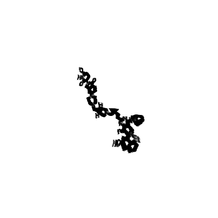 CCc1cccc2cc(O)cc(-c3ncc4c(N5CC6CCC(C5)N6)nc(CCC5(CN6C[C@@H]7C(CN8CCN(c9ccc%10c(c9)CN([C@H]9CCC(=O)NC9=O)C%10=O)CC8)[C@@H]7C6)CC5)nc4c3F)c12